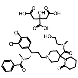 CN(C[C@@H](CCN1CCC(C(=O)N(C)CCO)(N2CCCCC2=O)CC1)c1ccc(Cl)c(Cl)c1)C(=O)c1ccccc1.O=C(O)CC(O)(CC(=O)O)C(=O)O